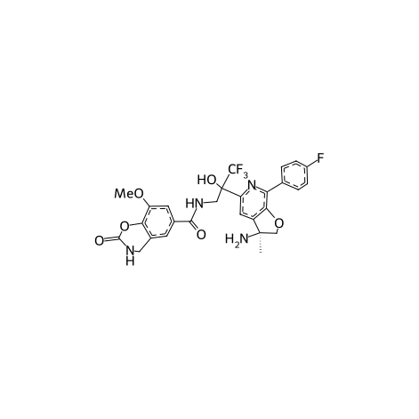 COc1cc(C(=O)NCC(O)(c2cc3c(c(-c4ccc(F)cc4)n2)OC[C@@]3(C)N)C(F)(F)F)cc2c1OC(=O)NC2